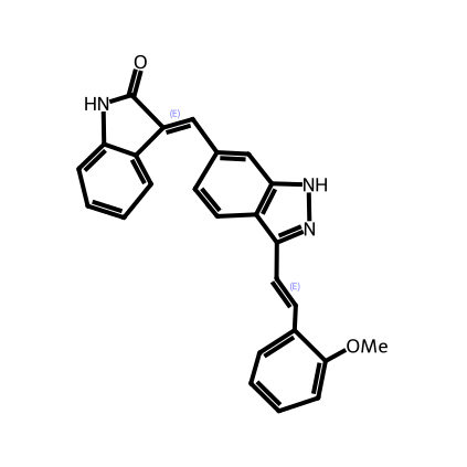 COc1ccccc1/C=C/c1n[nH]c2cc(/C=C3/C(=O)Nc4ccccc43)ccc12